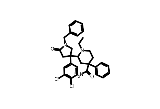 CCN1CCC(C(N)=O)(c2ccccc2)CC1C1(c2ccc(Cl)c(Cl)c2)CC(=O)N(Cc2ccccc2)C1